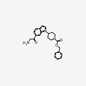 NCC(=O)c1ccc2ccn(C3CCN(C(=O)OCc4ccccc4)CC3)c2c1